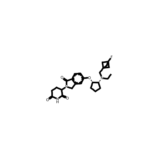 CCN(CC12CC(F)(C1)C2)[C@@H]1CCC[C@@H]1Oc1ccc2c(c1)CN(C1CCC(=O)NC1=O)C2=O